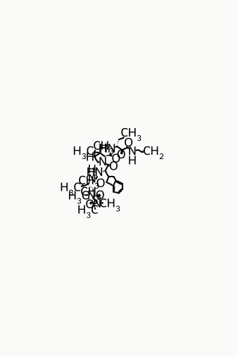 C=CCNC(=O)C(=O)[C@@H](CCC)NC(=O)[C@@H]1[C@@H]2[C@H](CN1C(=O)[C@@H](NC(=O)N[C@H](CN(C)S(=O)(=O)N(C)C)C(C)(C)C)C1Cc3ccccc3C1)C2(C)C